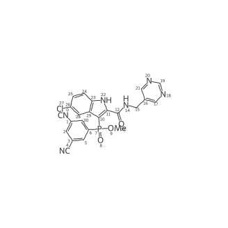 [C-]#[N+]c1cc(C#N)cc(P(=O)(OC)c2c(C(=O)NCc3cncnc3)[nH]c3ccc(Cl)cc23)c1